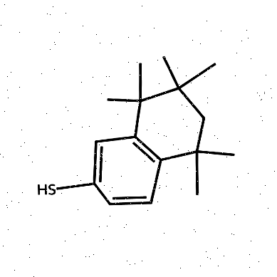 CC1(C)CC(C)(C)C(C)(C)c2cc(S)ccc21